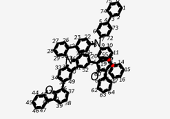 c1ccc(-c2ccc(N(c3ccc(-c4ccccc4)cc3)c3ccc(-c4ccccc4-n4c5ccc(-c6cccc7c6oc6ccccc67)cc5c5cc(-c6cccc7c6oc6ccccc67)ccc54)cc3)cc2)cc1